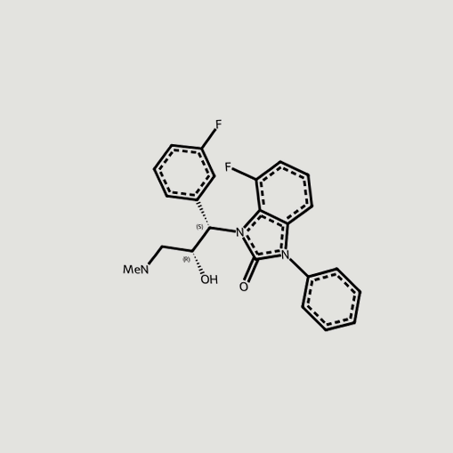 CNC[C@@H](O)[C@H](c1cccc(F)c1)n1c(=O)n(-c2ccccc2)c2cccc(F)c21